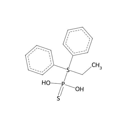 CCS(c1ccccc1)(c1ccccc1)P(O)(O)=S